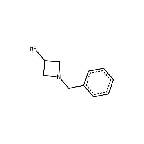 BrC1CN(Cc2ccccc2)C1